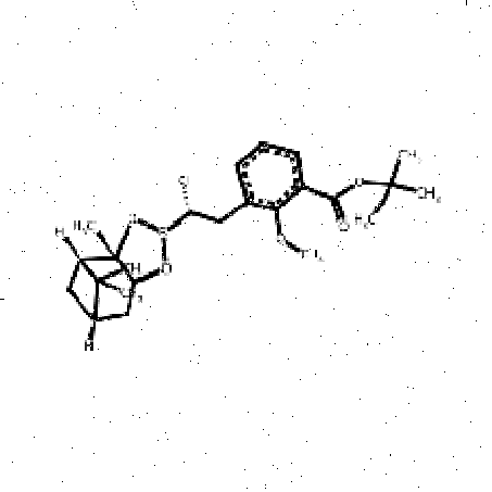 COc1c(C[C@@H](Cl)B2OC3C[C@@H]4C[C@@H](C4(C)C)[C@]3(C)O2)cccc1C(=O)OC(C)(C)C